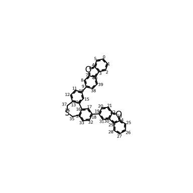 c1ccc2c(c1)oc1cc(-c3ccc4c(c3)-c3cc(-c5ccc6oc7ccccc7c6c5)ccc3CSC4)ccc12